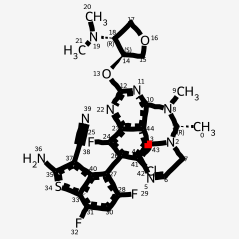 C[C@H](N1C=CN=CC1)N(C)c1nc(O[C@@H]2COC[C@H]2N(C)C)nc2c(F)c(-c3c(F)cc(F)c4sc(N)c(C#N)c34)c(Cl)cc12